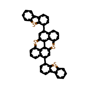 c1ccc2c(c1)sc1c(-c3cc4sc5cccc6c(-c7cccc8c7sc7ccccc78)cc7sc8cccc3c8c4-c7c56)cccc12